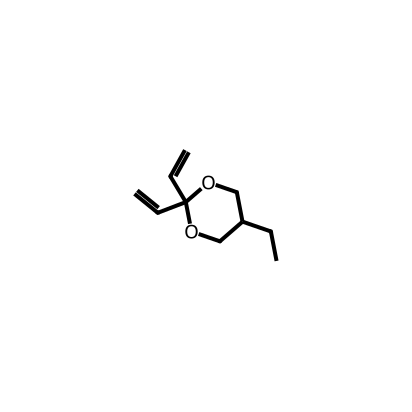 C=CC1(C=C)OCC(CC)CO1